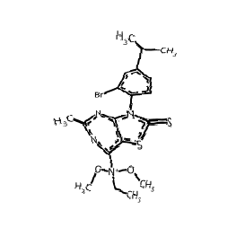 CC[N+](OC)(OC)c1nc(C)nc2c1sc(=S)n2-c1ccc(C(C)C)cc1Br